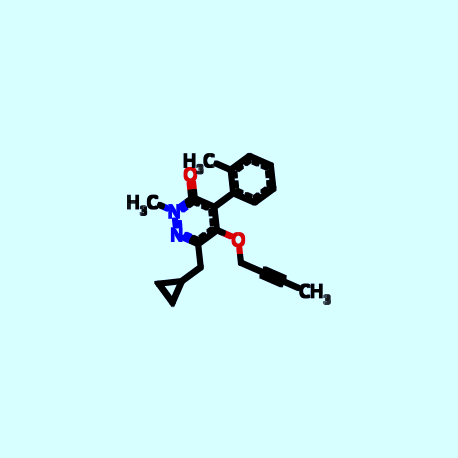 CC#CCOc1c(CC2CC2)nn(C)c(=O)c1-c1ccccc1C